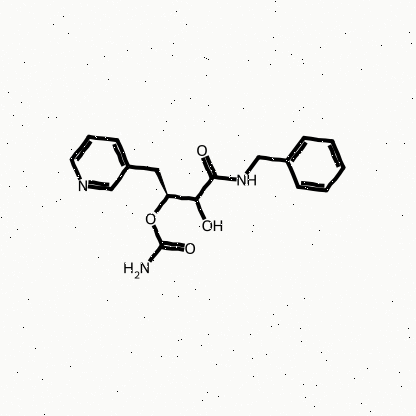 NC(=O)O[C@@H](Cc1cccnc1)C(O)C(=O)NCc1ccccc1